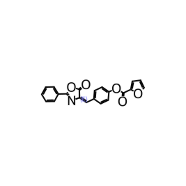 O=C1OC(c2ccccc2)=N/C1=C/c1ccc(OC(=O)c2ccco2)cc1